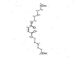 CCCCCCCCCCCCSCCOC(=O)/C=C\C(=O)OCCSCCCCCCCCCCCC